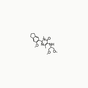 COCC(COC)Nc1c(C)nc(-c2cc3c(cc2OC)CCC3)n(C)c1=O